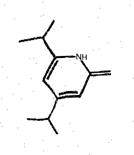 C=C1C=C(C(C)C)C=C(C(C)C)N1